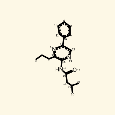 CCCc1nc(-c2ccccc2)cnc1NC(=O)CC(C)C